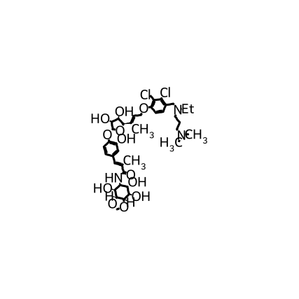 CCN(CCCN(C)C)Cc1ccc(OCC=C(C)[C@H]2O[C@@H](Oc3ccc(C=C(C)C(=O)N[C@@H]4[C@H](O)[C@@H](O)[C@H]5OCO[C@H]5[C@@H]4O)cc3O)[C@@H](O)[C@@H]2O)c(Cl)c1Cl